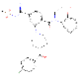 CCN(C(=O)c1ccc(C(=N)NS(C)(=O)=O)cc1N1CCC(C(=O)c2ccc(F)cc2)CC1)c1ccccc1OC